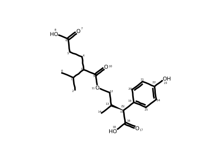 CC(C)C(CCC(=O)O)C(=O)OCC(C)[C@H](C(=O)O)c1ccc(O)cc1